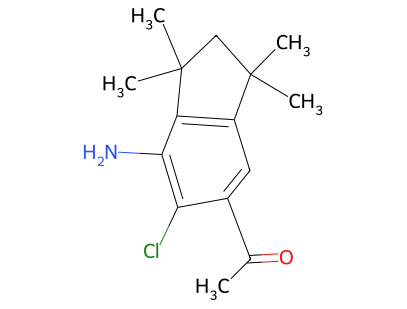 CC(=O)c1cc2c(c(N)c1Cl)C(C)(C)CC2(C)C